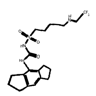 O=C(Nc1c2c(cc3c1CCC3)CCC2)NS(=O)(=O)CCCCNCC(F)(F)F